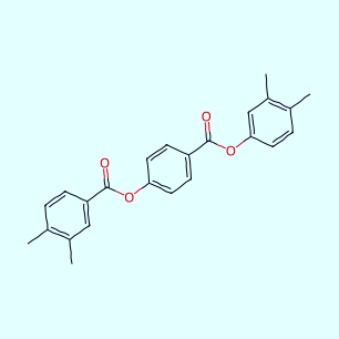 Cc1ccc(OC(=O)c2ccc(OC(=O)c3ccc(C)c(C)c3)cc2)cc1C